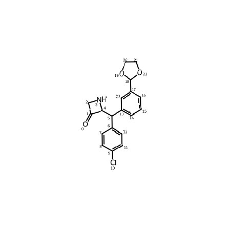 O=C1CNC1C(c1ccc(Cl)cc1)c1cccc(C2OCCO2)c1